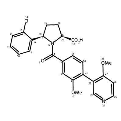 COc1cc(C(=O)N2[C@@H](c3ccccc3Cl)CC[C@H]2C(=O)O)ccc1-c1cnccc1OC